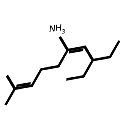 CCC(C=C(C)CCC=C(C)C)CC.N